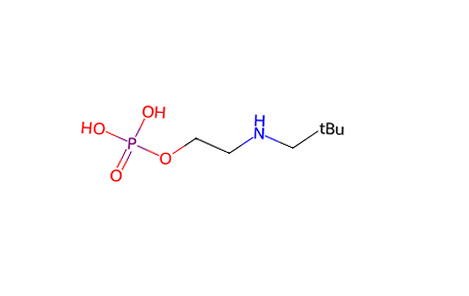 CC(C)(C)CNCCOP(=O)(O)O